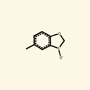 Cc1ccc2c(c1)[S+]([O-])CO2